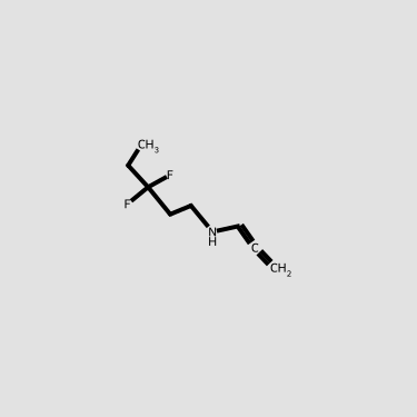 C=C=CNCCC(F)(F)CC